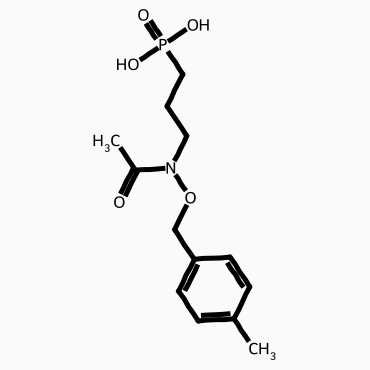 CC(=O)N(CCCP(=O)(O)O)OCc1ccc(C)cc1